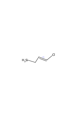 [SiH3]C/C=C/Cl